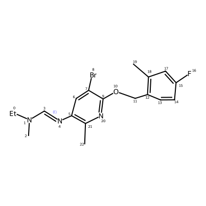 CCN(C)/C=N/c1cc(Br)c(OCc2ccc(F)cc2C)nc1C